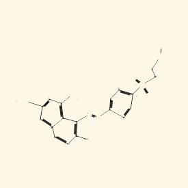 Nc1ccc2cc(S(=O)(=O)O)cc(O)c2c1/N=N/c1ccc(S(=O)(=O)CCOS(=O)(=O)O)cc1